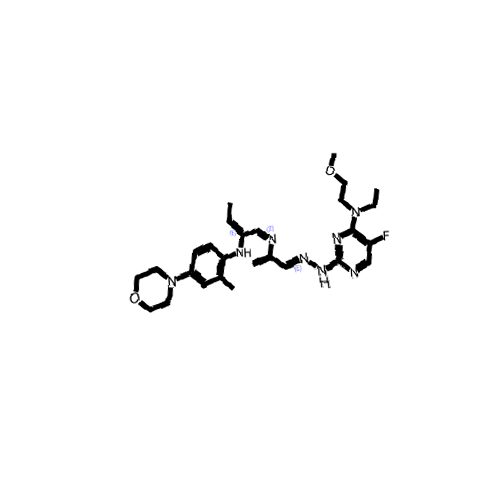 C=C(/C=N/Nc1ncc(F)c(N(CC)CCOC)n1)/N=C\C(=C/C)Nc1ccc(N2CCOCC2)cc1C